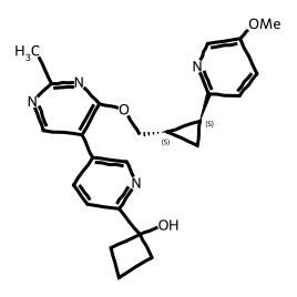 COc1ccc([C@H]2C[C@@H]2COc2nc(C)ncc2-c2ccc(C3(O)CCC3)nc2)nc1